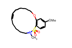 COc1ccc2c(c1)OCCCC/C=C\CCCCN(C)S2(=O)=O